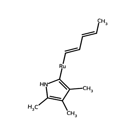 CC=CC=[CH][Ru][c]1[nH]c(C)c(C)c1C